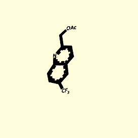 CC(=O)OCc1ccc2cc(C(F)(F)F)ccc2n1